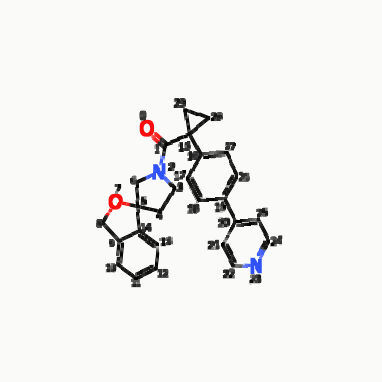 O=C(N1CCC2(C1)OCc1ccccc12)C1(c2ccc(-c3ccncc3)cc2)CC1